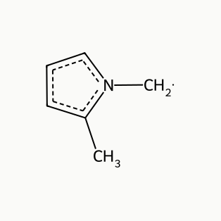 [CH2]n1cccc1C